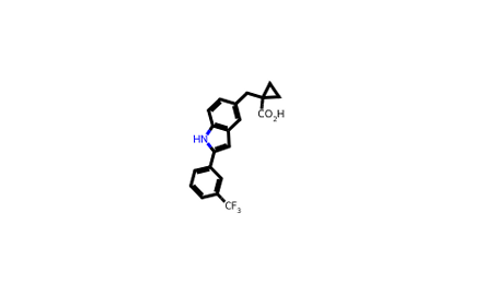 O=C(O)C1(Cc2ccc3[nH]c(-c4cccc(C(F)(F)F)c4)cc3c2)CC1